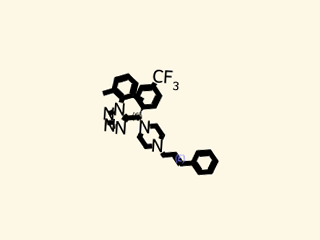 Cc1cccc(C)c1-n1nnnc1[C@H](C1C=CC(C(F)(F)F)=CC1)N1CCN(C/C=C/c2ccccc2)CC1